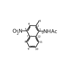 CC(=O)Nc1c(C)cc([N+](=O)[O-])c2ccccc12